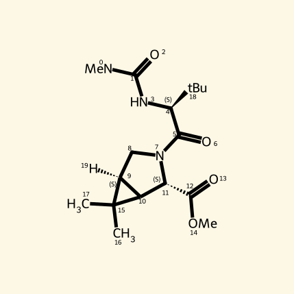 CNC(=O)N[C@H](C(=O)N1C[C@H]2C([C@H]1C(=O)OC)C2(C)C)C(C)(C)C